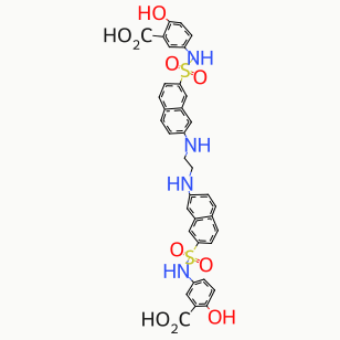 O=C(O)c1cc(NS(=O)(=O)c2ccc3ccc(NCCNc4ccc5ccc(S(=O)(=O)Nc6ccc(O)c(C(=O)O)c6)cc5c4)cc3c2)ccc1O